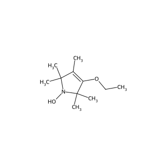 CCOC1=C(C)C(C)(C)N(O)C1(C)C